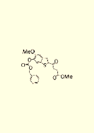 COC(=O)CCC(=O)c1cc2cc(OC)c(OC(=O)OCc3ccccc3)cc2s1